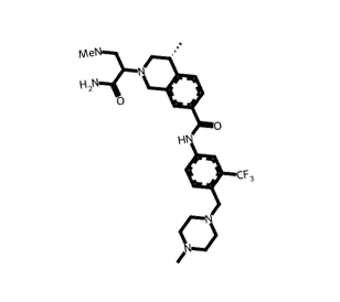 CNCC(C(N)=O)N1Cc2cc(C(=O)Nc3ccc(CN4CCN(C)CC4)c(C(F)(F)F)c3)ccc2[C@@H](C)C1